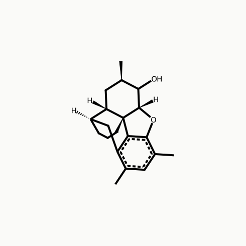 Cc1cc(C)c2c3c1C[C@H]1CCC[C@@]34[C@@H](O2)C(O)[C@H](C)C[C@@H]14